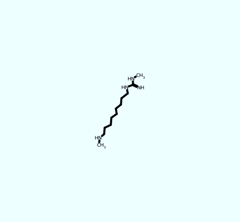 CNCCCCCCCCCNC(=N)NC